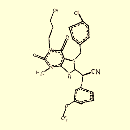 Cn1c2c(c(=O)n(CCCO)c1=O)N(Cc1ccc(Cl)cc1)C(C(C#N)c1cccc(OC(F)(F)F)c1)N2